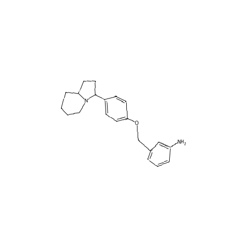 Nc1cccc(COc2ccc(C3CCC4CCCCN43)cc2)c1